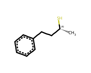 C[C@@H](S)CCc1ccccc1